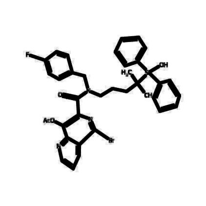 CC(=O)Oc1c(C(=O)N(CCCC(C)(C)[Si](O)(c2ccccc2)c2ccccc2)Cc2ccc(F)cc2)nc(Br)c2cccnc12